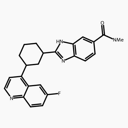 CNC(=O)c1ccc2nc(C3CCCC(c4ccnc5ccc(F)cc45)C3)[nH]c2c1